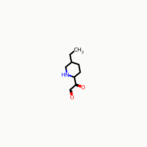 CCC1CCC(C(=O)C=O)NC1